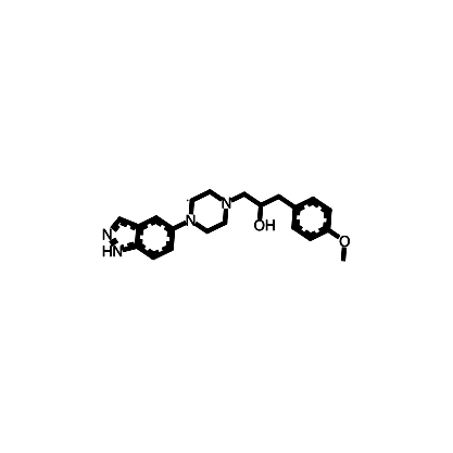 COc1ccc(CC(O)CN2C[CH]N(c3ccc4[nH]ncc4c3)CC2)cc1